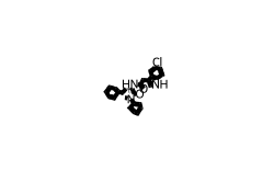 CN(C(=O)[C@H](CCc1ccccc1)NC(=O)Cc1c[nH]c2ccc(Cl)cc12)c1ccccc1